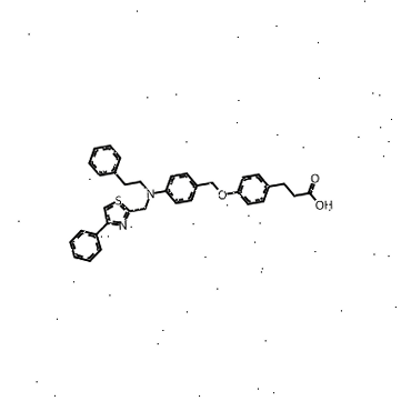 O=C(O)CCc1ccc(OCc2ccc(N(CCc3ccccc3)Cc3nc(-c4ccccc4)cs3)cc2)cc1